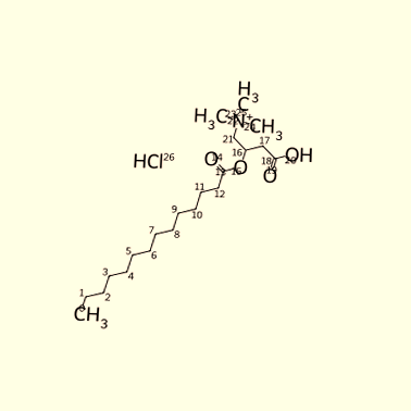 CCCCCCCCCCCCCC(=O)OC(CC(=O)O)C[N+](C)(C)C.Cl